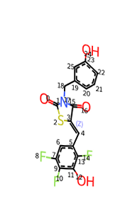 O=C1S/C(=C\c2cc(F)c(F)c(O)c2F)C(=O)N1Cc1cccc(O)c1